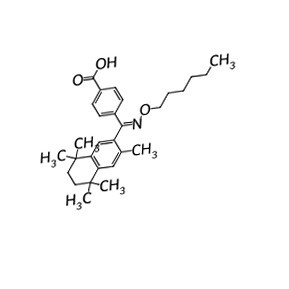 CCCCCCON=C(c1ccc(C(=O)O)cc1)c1cc2c(cc1C)C(C)(C)CCC2(C)C